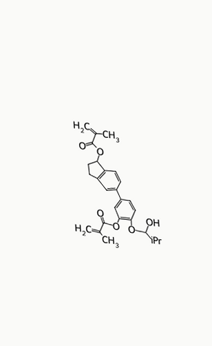 C=C(C)C(=O)Oc1cc(-c2ccc3c(c2)CCC3OC(=O)C(=C)C)ccc1OC(O)C(C)C